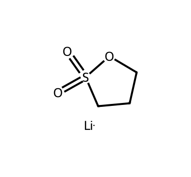 O=S1(=O)CCCO1.[Li]